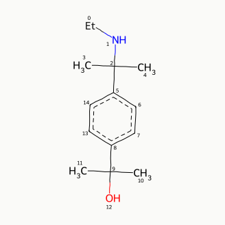 CCNC(C)(C)c1ccc(C(C)(C)O)cc1